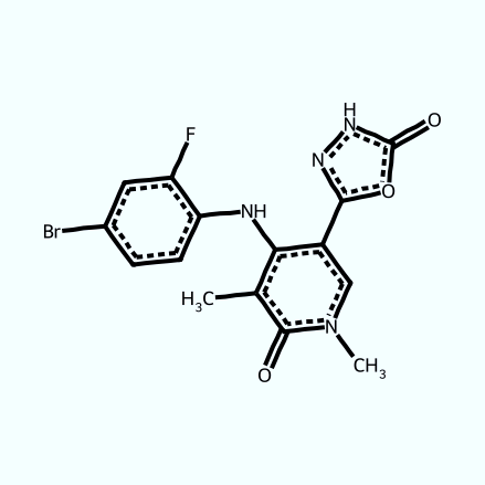 Cc1c(Nc2ccc(Br)cc2F)c(-c2n[nH]c(=O)o2)cn(C)c1=O